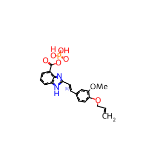 C=CCOc1ccc(/C=C/c2nc3c(C(=O)OP(=O)(O)O)cccc3[nH]2)cc1OC